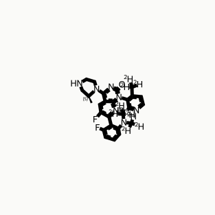 [2H]C([2H])([2H])c1ccnc(C(C)C)c1-n1c(=O)nc(N2CCNC[C@@H]2C)c2cc(F)c(-c3c(F)cccc3N(C([2H])([2H])[2H])C([2H])([2H])[2H])nc21